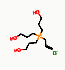 C=CC[P+](CCCO)(CCCO)CCCO.[Cl-]